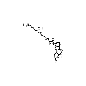 NCCOCC(O)COCCOCCC(=O)Nc1cccc2c1CN(C1CCC(=O)NC1=O)C2=O